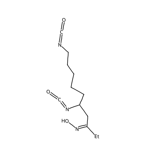 CCC(CC(CCCCCN=C=O)N=C=O)=NO